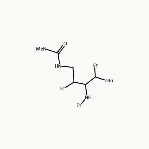 CCCCC(CC)C(NCC)C(CC)CNC(=O)NC